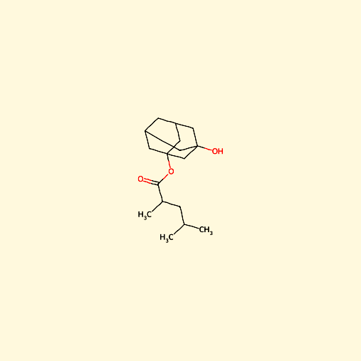 CC(C)CC(C)C(=O)OC12CC3CC(CC(O)(C3)C1)C2